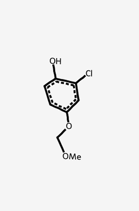 COCOc1ccc(O)c(Cl)c1